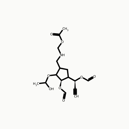 C#C[C@H](OC=O)C1CC(CNCOC(C)=O)C(OC(C)O)[C@@H]1OC=O